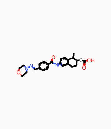 CC1c2ccc(NC(=O)c3ccc(C=NN4CCOCC4)cc3)cc2CCC1CC(=O)O